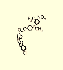 CN(c1ccc([N+](=O)[O-])c(C(F)(F)F)c1)[C@H]1CC[C@H](OCC(=O)N2CCN(Cc3cc4cc(Cl)ccc4o3)CC2)CC1